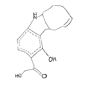 O=C(O)c1ccc2c(c1O)C1C=CCCC1N2